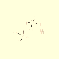 [Cl][Au-]([Cl])([Cl])[Cl].[Cl][Au-]([Cl])([Cl])[Cl].[H+].[H+]